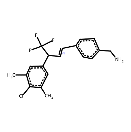 Cc1cc(C(/C=C/c2ccc(CN)cc2)C(F)(F)F)cc(C)c1Cl